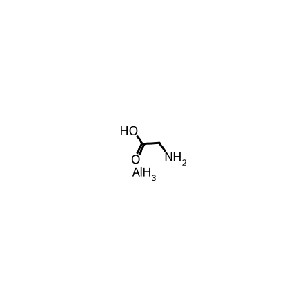 NCC(=O)O.[AlH3]